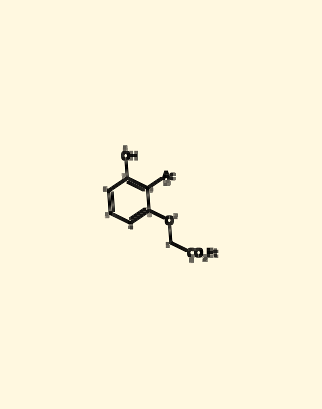 CCOC(=O)COc1cccc(O)c1C(C)=O